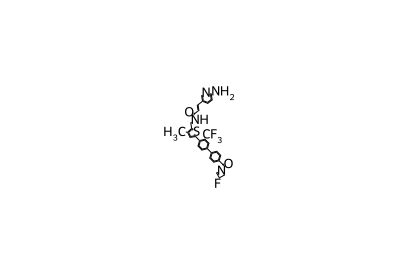 Cc1cc(-c2ccc(-c3ccc(C(=O)N4CC(F)C4)cc3)cc2C(F)(F)F)sc1CNC(=O)/C=C/c1ccc(N)nc1